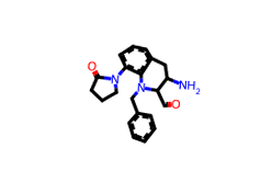 NC1Cc2cccc(N3CCCC3=O)c2N(Cc2ccccc2)C1C=O